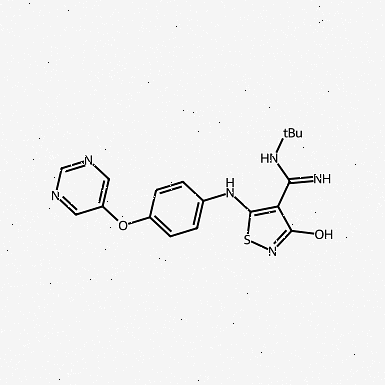 CC(C)(C)NC(=N)c1c(O)nsc1Nc1ccc(Oc2cncnc2)cc1